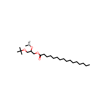 CCCCCCCCCCCCCCCC(=O)OCC(COC(C)(C)C)O[SiH](C)C